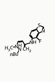 C=C(/C=C\N(C)NCCCC)Nc1ccc2scnc2c1F